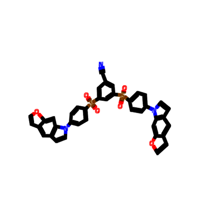 N#Cc1cc(S(=O)(=O)c2ccc(-n3ccc4cc5ccoc5cc43)cc2)cc(S(=O)(=O)c2ccc(-n3ccc4cc5ccoc5cc43)cc2)c1